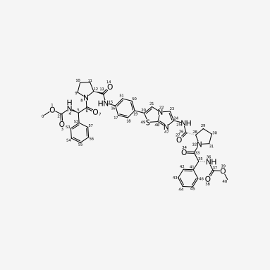 COC(=O)N[C@@H](C(=O)N1CCC[C@H]1C(=O)Nc1ccc(-c2cn3cc(NC(=O)[C@@H]4CCCN4C(=O)[C@H](NC(=O)OC)c4ccccc4)nc3s2)cc1)c1ccccc1